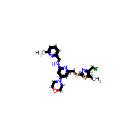 Cc1cccc(CNc2cc(N3CCOCC3)cc(CSc3nc(CF)c(C)s3)n2)n1